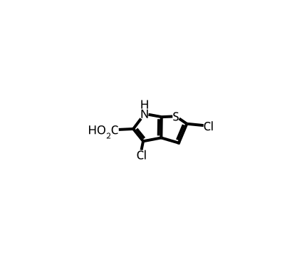 O=C(O)c1[nH]c2sc(Cl)cc2c1Cl